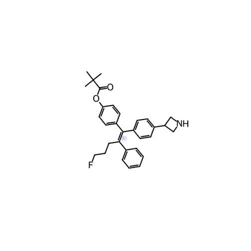 CC(C)(C)C(=O)Oc1ccc(/C(=C(\CCCF)c2ccccc2)c2ccc(C3CNC3)cc2)cc1